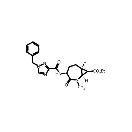 CCOC(=O)[C@@H]1[C@@H]2CC[C@H](NC(=O)c3ncn(Cc4ccccc4)n3)C(=O)N(C)[C@@H]21